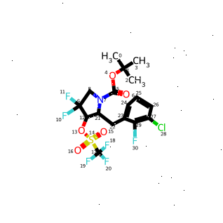 CC(C)(C)OC(=O)N1CC(F)(F)C(OS(=O)(=O)C(F)(F)F)C1Cc1cccc(Cl)c1F